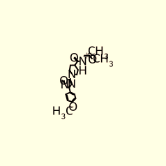 COc1ccc(-c2noc(N3CCC(C(=O)NC[C@H](C)OC)CC3)n2)cc1